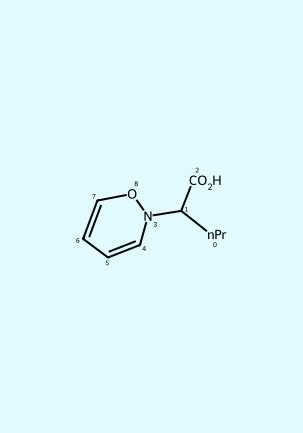 CCCC(C(=O)O)N1C=CC=CO1